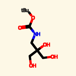 CC(C)(C)OC(=O)NCC(O)(CO)CO